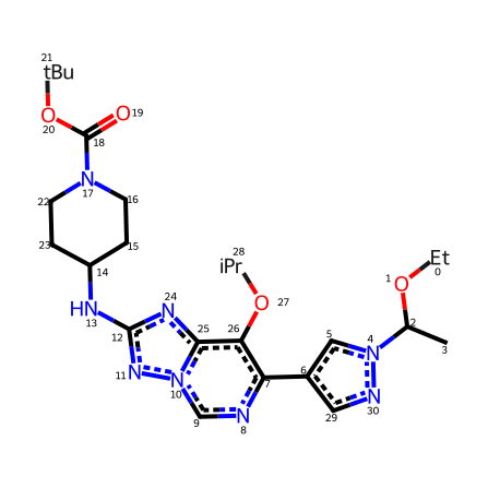 CCOC(C)n1cc(-c2ncn3nc(NC4CCN(C(=O)OC(C)(C)C)CC4)nc3c2OC(C)C)cn1